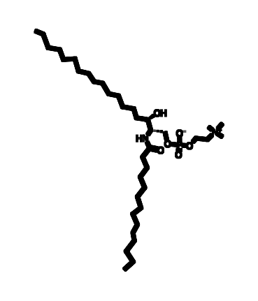 CCCCCCCCCCCCCCC[C@@H](O)[C@H](COP(=O)([O-])OCC[N+](C)(C)C)NC(=O)CCCCCCCCCCCCC